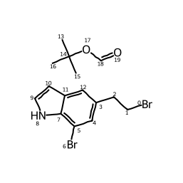 BrCCc1cc(Br)c2[nH]ccc2c1.CC(C)(C)OC=O